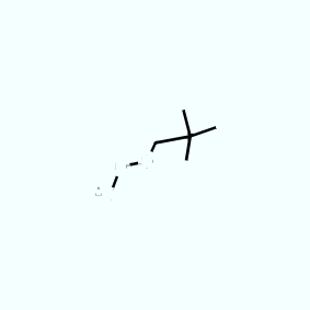 CC(=O)OOCC(C)(C)C